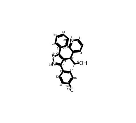 OCC(c1cccnc1)c1c(-c2ccc(Cl)cc2)nsc1-c1ccccc1